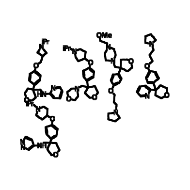 CC(C)N1CC(COc2ccc(C3(CNc4ccccn4)CCOCC3)cc2)C1.CC(C)N1CCC(Oc2ccc(C3(CN4CCOCC4)CCOCC3)cc2)CC1.CC(C)N1CCC(Oc2ccc(C3(CNc4ccnnc4)CCOCC3)cc2)CC1.COCCN1CCN(CC2(c3ccc(OCCCN4CCCC4)cc3)CCOCC2)CC1.c1ccc(C2(c3ccc(OCCCN4CCCC4)cc3)CCOCC2)nc1